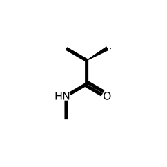 [CH2][C@H](C)C(=O)NC